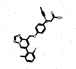 CC#C[C@@H](CC(=O)O)c1ccc(OCc2cc(-c3c(C)cccc3F)cn3ncnc23)cc1